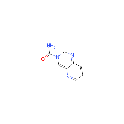 NC(=O)N1C=c2ncccc2=NC1